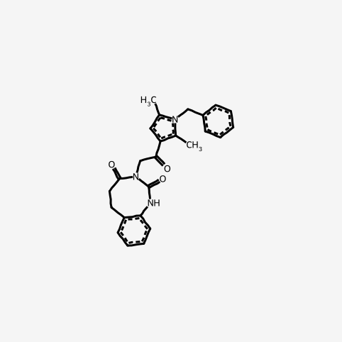 Cc1cc(C(=O)CN2C(=O)CCc3ccccc3NC2=O)c(C)n1Cc1ccccc1